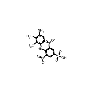 Cc1c(N)ccc(Nc2c([N+](=O)[O-])cc(S(=O)(=O)O)cc2[N+](=O)[O-])c1C